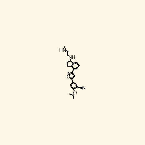 CNCCNC1CCc2c(-c3cc(-c4ccc(OC(C)C)c(C#N)c4)on3)cccc21